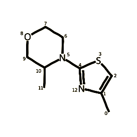 Cc1csc(N2CCOCC2C)n1